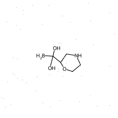 BC(O)(O)C1CNCCO1